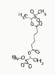 CC(OC(=O)CCCCC(=O)OC(C)S(=O)(=O)OC(C)(C)C)S(C)(=O)=O